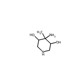 CC1(N)C(O)CNCC1O